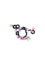 C[C@@H]1[C@@H](C)C/C=C/[C@H](OCCN2CCCCC2=O)[C@@H]2CC[C@H]2CN2C[C@@]3(CCCc4cc(Cl)ccc43)COc3ccc(cc32)C(=O)NS1(=O)=O